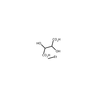 CCC.O=C(O)C(O)C(O)C(=O)O